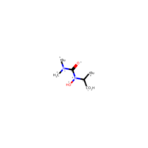 CN(C(=O)N(O)C(C(=O)O)C(C)(C)C)C(C)(C)C